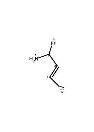 CCC=CC(N)CC